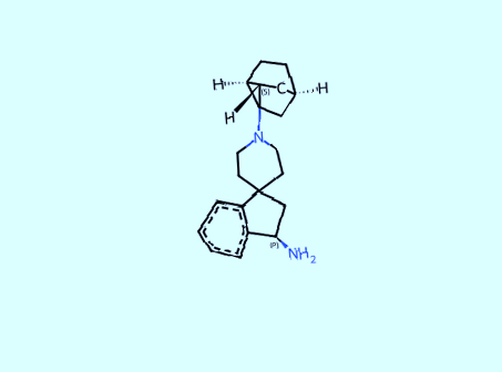 N[C@@H]1CC2(CCN([C@H]3C[C@H]4CC[C@@H]3CC4)CC2)c2ccccc21